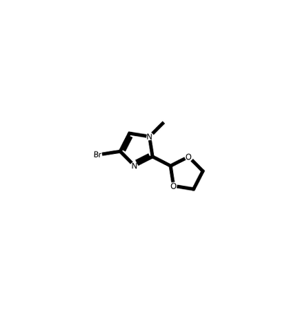 Cn1cc(Br)nc1C1OCCO1